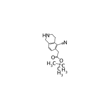 CC(C)(C)OC(=O)Cc1ccc2c(c1C#N)CCNC2